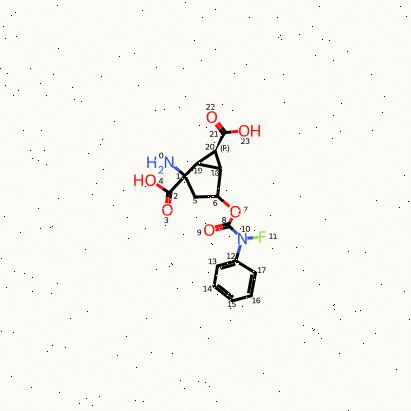 NC1(C(=O)O)CC(OC(=O)N(F)c2ccccc2)C2C1[C@H]2C(=O)O